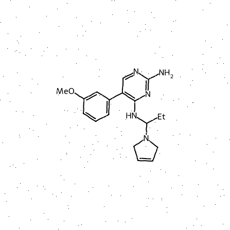 CCC(Nc1nc(N)ncc1-c1cccc(OC)c1)N1CC=CC1